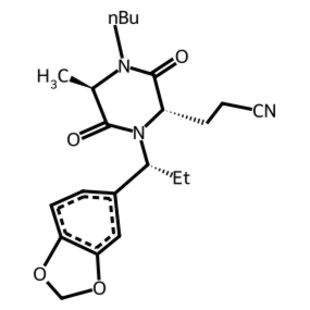 CCCCN1C(=O)[C@H](CCC#N)N([C@H](CC)c2ccc3c(c2)OCO3)C(=O)[C@H]1C